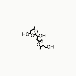 CC(CCO)OC(=O)C(O)CC(=S)OC(C)CCO